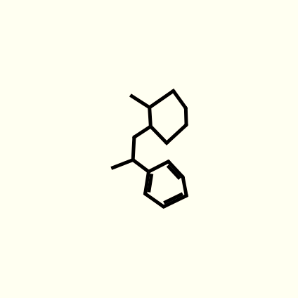 CC(CC1CCCCC1C)c1ccccc1